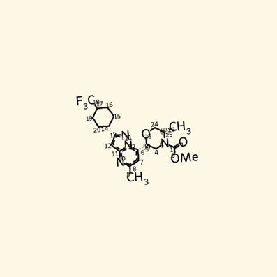 COC(=O)N1C[C@H](c2cc(C)nc3cc([C@H]4CC[C@H](C(F)(F)F)CC4)nn23)OC[C@@H]1C